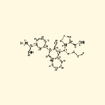 CCCCC(N1CCC[C@H]1CO)n1c(=O)c(-c2cccc(C(=N)N)c2)cc2ccccc21